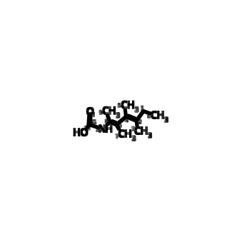 CC/C(C)=C(C)/C(C)=C(\C)NC(=O)O